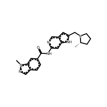 C[C@H]1CCCN1Cc1cc2cnc(NC(=O)c3ccc4cnn(C)c4c3)cc2[nH]1